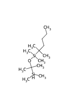 CCCCC(C)(C)[Si](C)(C)OC(C)(C)[SiH](C)C